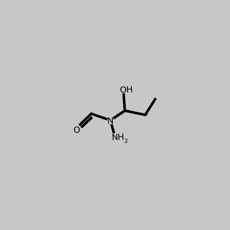 C[CH]C(O)N(N)C=O